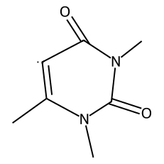 Cc1[c]c(=O)n(C)c(=O)n1C